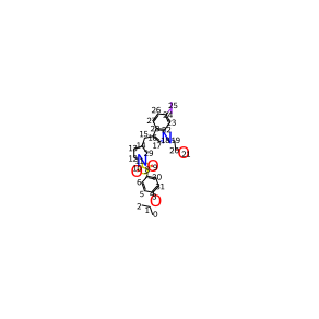 CC(C)Oc1ccc(S(=O)(=O)N2CCC(Cc3cn(CC=O)c4cc(I)ccc34)C2)cc1